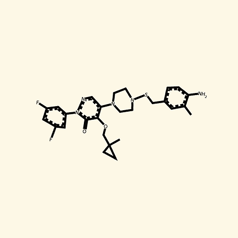 Cc1cc(CSN2CCN(c3cnn(-c4cc(F)cc(F)c4)c(=O)c3OCC3(C)CC3)CC2)ccc1N